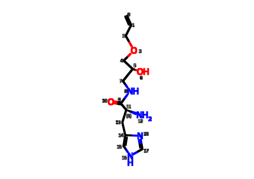 C=CCOCC(O)CNC(=O)[C@@H](N)Cc1c[nH]cn1